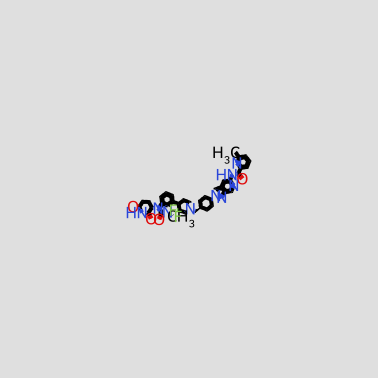 Cc1cccc(C(=O)Nc2cc3cn([C@H]4CC[C@H](CN5CCC(c6cccc7c6n(C)c(=O)n7C6CCC(=O)NC6=O)C(F)(F)C5)CC4)nc3cn2)n1